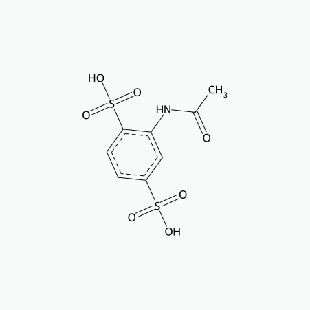 CC(=O)Nc1cc(S(=O)(=O)O)ccc1S(=O)(=O)O